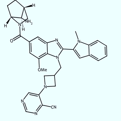 COc1cc(C(=O)N2C[C@H]3CC[C@@H]2[C@@H]3N)cc2nc(-c3cc4ccccc4n3C)n(CC3CN(c4cncnc4C#N)C3)c12